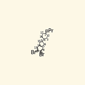 CCCC1CCC(C2Cc3cc(Br)c(Br)cc3C2)CC1